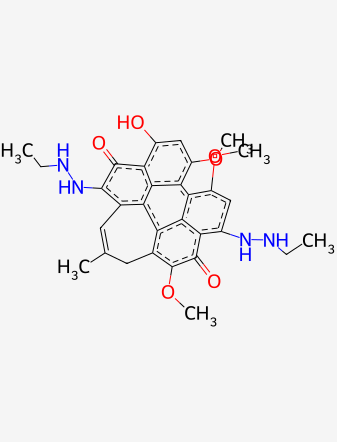 CCNNc1c2c3c4c(c(OC)c(=O)c5c(NNCC)cc(OC)c(c6c(OC)cc(O)c(c1=O)c63)c54)CC(C)=C2